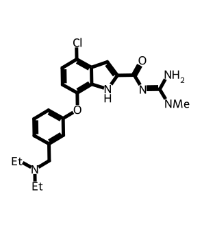 CCN(CC)Cc1cccc(Oc2ccc(Cl)c3cc(C(=O)N=C(N)NC)[nH]c23)c1